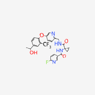 CC(O)c1ccc(Oc2ccc(CNC(=O)C3(NC(=O)c4ccc(F)nc4)CC3)nc2)c(C(F)(F)F)c1